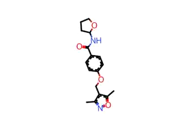 Cc1noc(C)c1COc1ccc(C(=O)NC2CCCO2)cc1